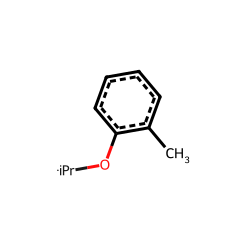 C[C](C)Oc1ccccc1C